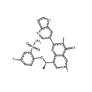 Cc1cc([C@@H](C)Oc2ccc(F)cc2S(N)(=O)=O)c2oc(-c3cnc4ccoc4c3)c(C)c(=O)c2c1